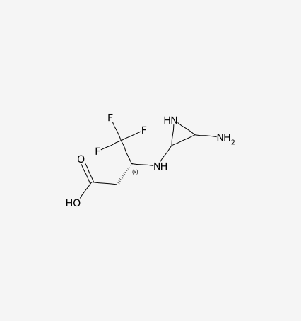 NC1NC1N[C@H](CC(=O)O)C(F)(F)F